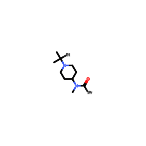 CCC(C)(C)N1CCC(N(C)C(=O)C(C)C)CC1